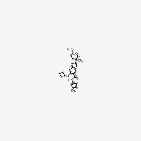 C[C@@H]1CC[C@](C)(c2cn3cc(C(=O)Nc4ccn(C)n4)c(OC4CCC4)nc3n2)CO1